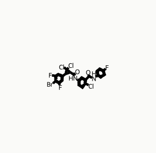 O=C(Nc1ccc(F)cc1)c1cc(NC(=O)C2C(c3cc(F)c(Br)c(F)c3)C2(Cl)Cl)ccc1Cl